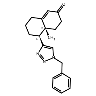 C[C@]12CCC(=O)C=C1CCC[C@@H]2c1cn(Cc2ccccc2)nn1